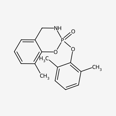 Cc1cccc(C)c1OP1(=O)NCc2cccc(C)c2O1